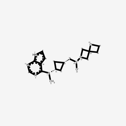 CN(c1ncnc2[nH]ccc12)[C@H]1C[C@@H](C[S+]([O-])N2CC3(CCO3)C2)C1